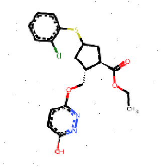 CCOC(=O)[C@@H]1CC(Sc2ccccc2Cl)C[C@H]1COc1ccc(O)nn1